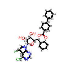 O=C(O[C@H](c1ccccc1)[C@H]1O[C@@H](n2cc(F)c3c(Cl)ncnc32)[C@H](O)[C@@H]1O)c1ccc(-c2ccccc2)cc1